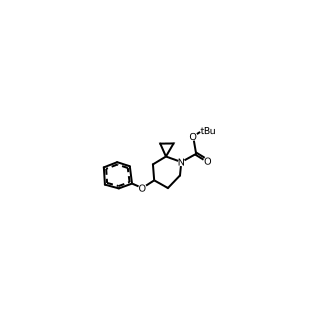 CC(C)(C)OC(=O)N1CCC(Oc2ccccc2)CC12CC2